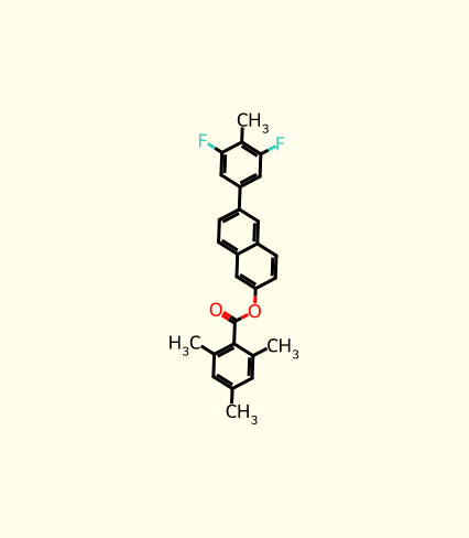 Cc1cc(C)c(C(=O)Oc2ccc3cc(-c4cc(F)c(C)c(F)c4)ccc3c2)c(C)c1